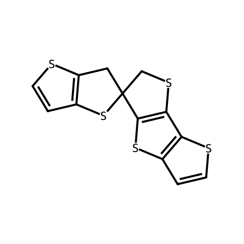 c1cc2c(s1)CC1(CSc3c1sc1ccsc31)S2